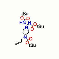 C#CCCN(C(=O)OC(C)(C)C)C1CCN(/C(=N\C(=O)OC(C)(C)C)NC(=O)OC(C)(C)C)CC1